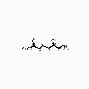 C=CC(=O)CCCC(=O)OC(C)=O